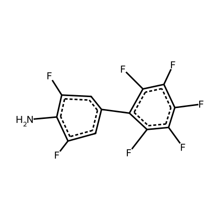 Nc1c(F)cc(-c2c(F)c(F)c(F)c(F)c2F)cc1F